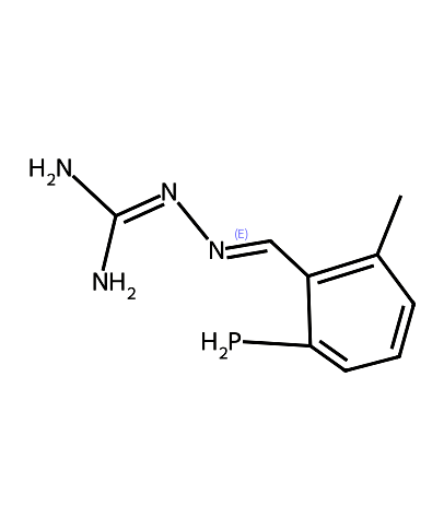 Cc1cccc(P)c1/C=N/N=C(N)N